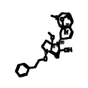 CO[C@]1(N(C(=O)O)[C@H]2C=C[C@@]34CCN(C)Cc5cccc(c53)O[C@H]4C2)CCN(OCCc2ccccc2)C1=O